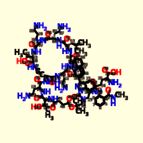 CNC(=O)c1ccccc1Sc1ccc2c(/C=C/c3ccccn3)nn(C(=O)N(CCNC(=O)CC[C@H](N)C(=O)O)CC(C)(C)OC(=O)CCC(=O)N[C@H](C(=O)N[C@@H](CCN)C(=O)N[C@H]3CCNC(=O)[C@H]([C@@H](C)O)NC(=O)[C@H](CCCN)NC(=O)[C@H](CCN)NC(=O)[C@H](CC(C)C)NC(=O)[C@@H](Cc4ccccc4)NC(=O)[C@H](CCN)NC3=O)[C@@H](C)O)c2c1